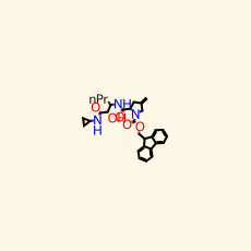 C=C1CC(C(=O)NC(CCC)C(O)C(=O)NC2CC2)N(C(=O)OCC2c3ccccc3-c3ccccc32)C1